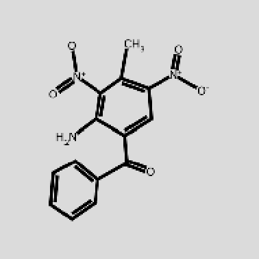 Cc1c([N+](=O)[O-])cc(C(=O)c2ccccc2)c(N)c1[N+](=O)[O-]